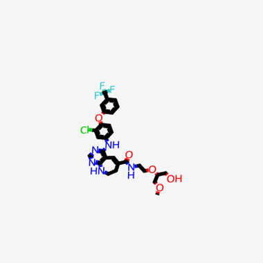 COCC(CO)OCCNC(=O)C1=Cc2c(ncnc2Nc2ccc(Oc3cccc(C(F)(F)F)c3)c(Cl)c2)NCC1